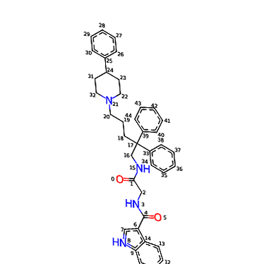 O=C(CNC(=O)c1c[nH]c2ccccc12)NCC(CCCN1CCC(c2ccccc2)CC1)(c1ccccc1)c1ccccc1